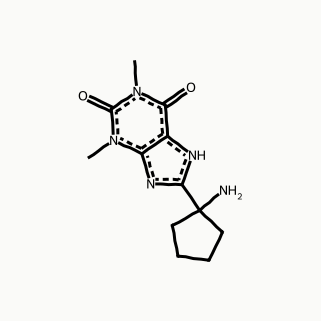 Cn1c(=O)c2[nH]c(C3(N)CCCC3)nc2n(C)c1=O